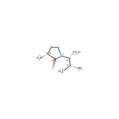 CCCC[C@H](C)[C@@H](C(=O)O)N1CC[C@@H](N)C1=O